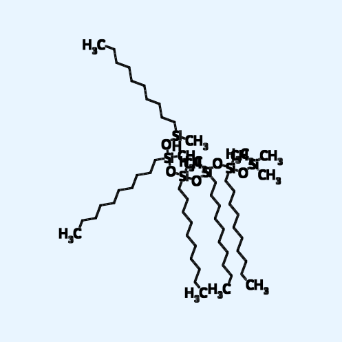 CCCCCCCCCC[SiH](C)O[Si](C)(CCCCCCCCCC)O[Si](C)(CCCCCCCCCC)O[Si](C)(CCCCCCCCCC)O[Si](C)(CCCCCCCCCC)O[Si](C)(C)C